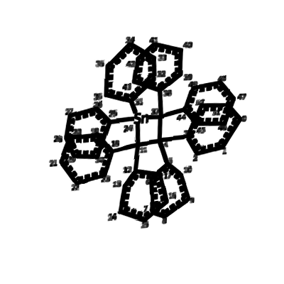 c1ccc(C2(c3ccccc3)[C](c3ccccc3)(c3ccccc3)[Sn]([c]3ccccc3)([c]3ccccc3)[C]2(c2ccccc2)c2ccccc2)cc1